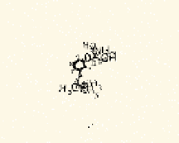 C[N+](C)(C)CCc1cccc(OCC(N)(CO)CO)c1